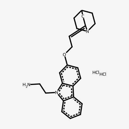 Cl.Cl.NCCn1c2ccccc2c2ccc(OCC=C3CC4CCN3CC4)cc21